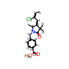 C/C=C(Cl)\C=C1/C(C)N(Cc2ccc(C(=O)O)cc2)C(=O)C1(C)C